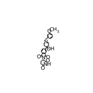 COc1cccc(CN2CCC(O)(c3ccc4c(c3)C(=O)N(C3CCC(=O)NC3=O)C4=O)CC2)c1